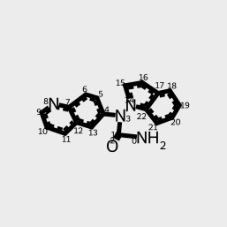 NC(=O)N(c1ccc2ncccc2c1)n1ccc2ccccc21